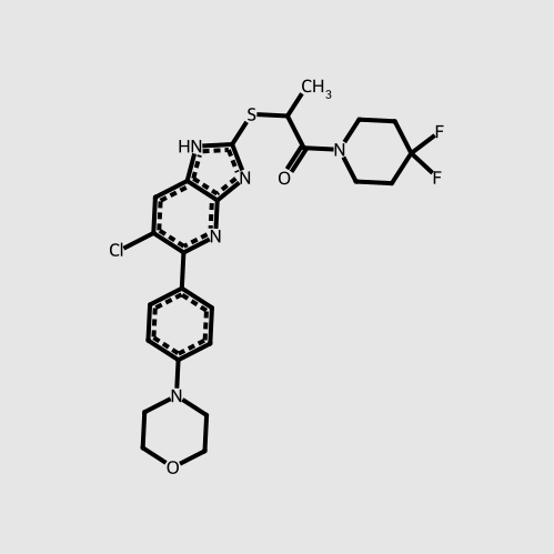 CC(Sc1nc2nc(-c3ccc(N4CCOCC4)cc3)c(Cl)cc2[nH]1)C(=O)N1CCC(F)(F)CC1